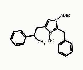 CCCCCCCCCCn1cc(CC(C)c2ccccc2)[n+](CCC)c1Cc1ccccc1